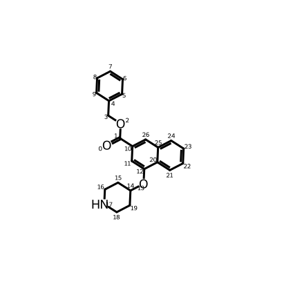 O=C(OCc1ccccc1)c1cc(OC2CCNCC2)c2ccccc2c1